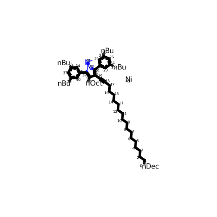 CCCCCCCCCCCCCCCCCCCCCCCCCCCC#CC1=C(c2cc(CCCC)cc(CCCC)c2)[N+](=[N-])C(c2cc(CCCC)cc(CCCC)c2)=C1CCCCCCCC.[Ni]